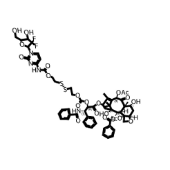 CC(=O)O[C@H]1C(=O)[C@@]2(C)[C@H]([C@H](OC(=O)c3ccccc3)[C@]3(O)CC(OC(=O)[C@H](OC(=O)OCCSSCCOC(=O)Nc4ccn(C5OC(CO)C(O)C5(F)F)c(=O)n4)[C@@H](NC(=O)c4ccccc4)c4ccccc4)C(C)=C1C3(C)C)[C@]1(OC(C)=O)CO[C@@H]1C[C@@H]2O